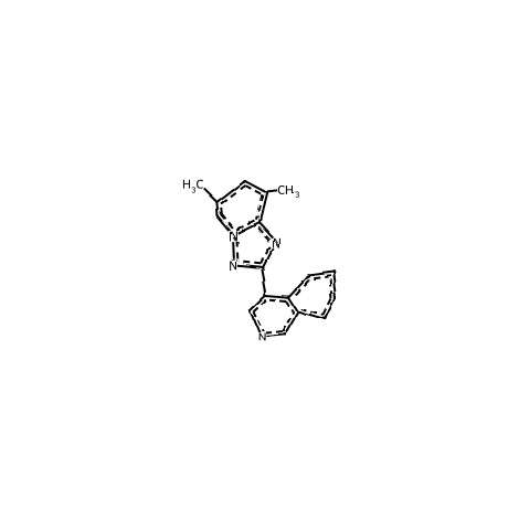 Cc1cc(C)c2nc(-c3cncc4ccccc34)nn2c1